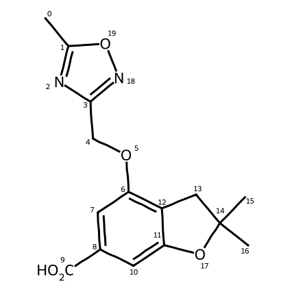 Cc1nc(COc2cc(C(=O)O)cc3c2CC(C)(C)O3)no1